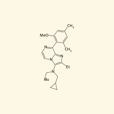 CCc1nc2c(-c3c(C)cc(C)cc3OC)nccn2c1N(CC(C)CC)CC1CC1